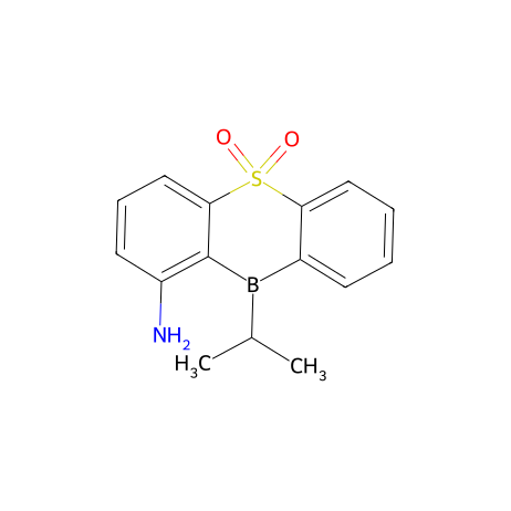 CC(C)B1c2ccccc2S(=O)(=O)c2cccc(N)c21